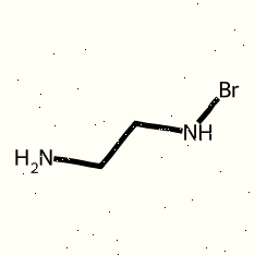 NCCNBr